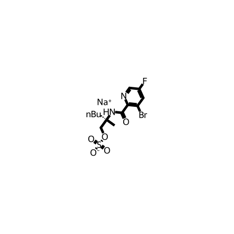 CCCC[C@](C)(COS(=O)(=O)[O-])NC(=O)c1ncc(F)cc1Br.[Na+]